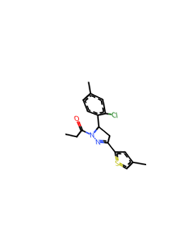 CCC(=O)N1N=C(c2cc(C)cs2)CC1c1ccc(C)cc1Cl